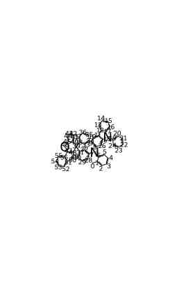 Cc1ccccc1N(c1ccc2c3ccccc3n(-c3ccccc3)c2c1)c1cccc2c1-c1ccccc1C21c2ccccc2Oc2c1ccc1ccccc21